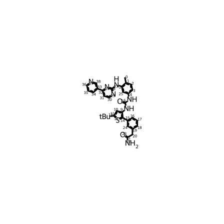 Cc1ccc(NC(=O)Nc2cc(C(C)(C)C)sc2-c2cccc(CC(N)=O)c2)cc1Nc1nccc(-c2cccnc2)n1